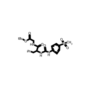 CC(C)CC(NC(=O)Nc1ccc(S(C)(=O)=O)cc1)C(=O)NCC(=O)OC(C)(C)C